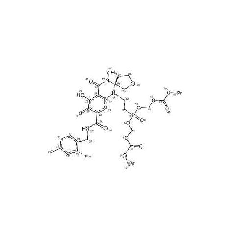 CC(C)OC(=O)OCOP(=O)(CCN1n2cc(C(=O)NCc3ccc(F)cc3F)c(=O)c(O)c2C(=O)N(C)[C@@]12CCOC2)OCOC(=O)OC(C)C